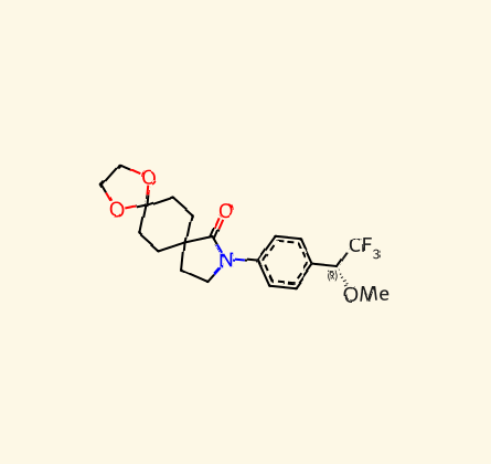 CO[C@H](c1ccc(N2CCC3(CCC4(CC3)OCCO4)C2=O)cc1)C(F)(F)F